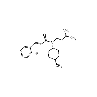 CN(C)CCN(C(=O)C=Cc1ccccc1F)[C@H]1CC[C@H](C)CC1